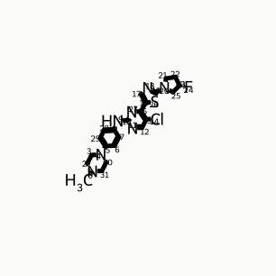 CN1CCN(c2ccc(Nc3ncc(Cl)c(-c4cnc(N5CC[C@H](F)C5)s4)n3)cc2)CC1